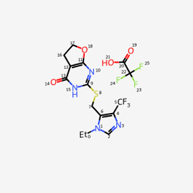 CCn1cnc(C(F)(F)F)c1CSc1nc2c(c(=O)[nH]1)CCO2.O=C(O)C(F)(F)F